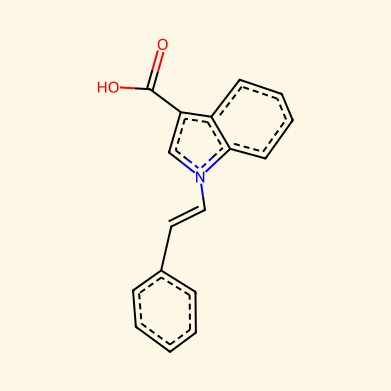 O=C(O)c1cn(C=Cc2ccccc2)c2ccccc12